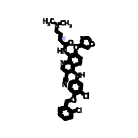 CN(C)C/C=C/C(=O)Nc1c(OC2CCOC2)ccc2c(Nc3ccc(OCc4ccccc4Cl)c(Cl)c3)c(C#N)cnc12